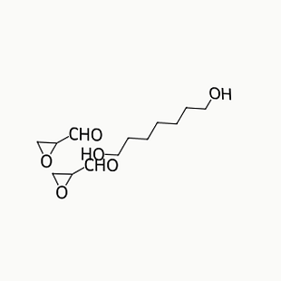 O=CC1CO1.O=CC1CO1.OCCCCCCCO